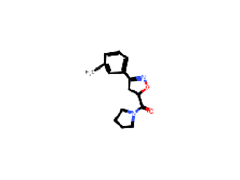 O=C(C1CC(c2cccc(C(F)(F)F)c2)=NO1)N1CCCC1